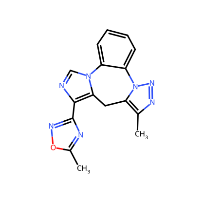 Cc1nc(-c2ncn3c2Cc2c(C)nnn2-c2ccccc2-3)no1